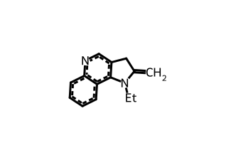 C=C1Cc2cnc3ccccc3c2N1CC